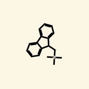 C[Si](C)(C)[CH]C1c2ccccc2-c2ccccc21